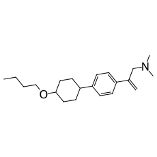 C=C(CN(C)C)c1ccc(C2CCC(OCCCC)CC2)cc1